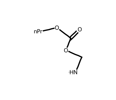 CCCOC(=O)OC[NH]